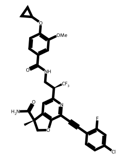 COc1cc(C(=O)NC[C@H](c2cc3c(c(C#Cc4ccc(Cl)cc4F)n2)OC[C@]3(C)C(N)=O)C(F)(F)F)ccc1OC1CC1